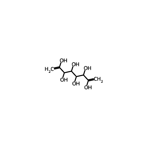 C=C(O)C(O)C(O)C(O)C(O)C(=C)O